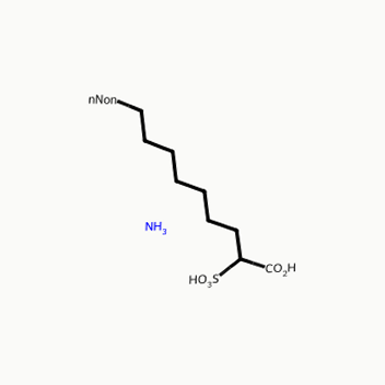 CCCCCCCCCCCCCCCCC(C(=O)O)S(=O)(=O)O.N